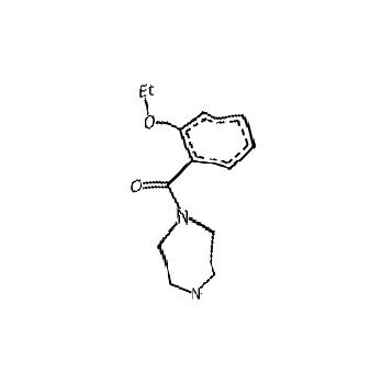 CCOc1ccccc1C(=O)N1CC[N]CC1